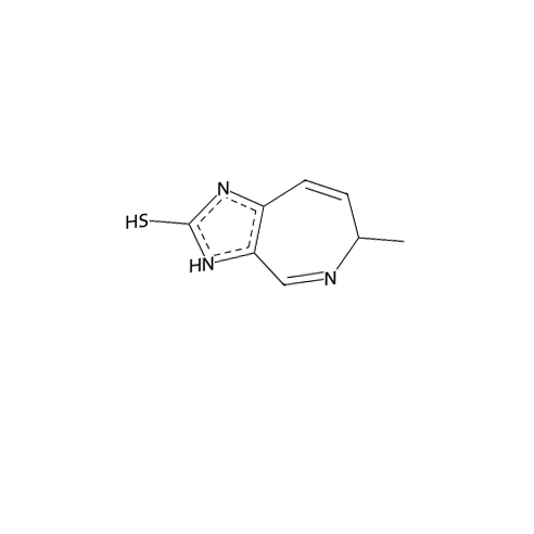 CC1C=Cc2nc(S)[nH]c2C=N1